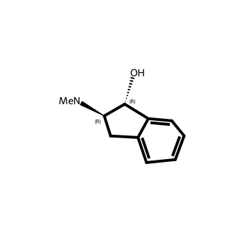 CN[C@@H]1Cc2ccccc2[C@H]1O